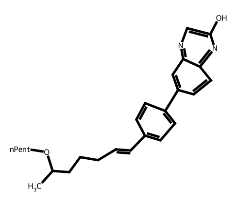 CCCCCOC(C)CCCC=Cc1ccc(-c2ccc3nc(O)cnc3c2)cc1